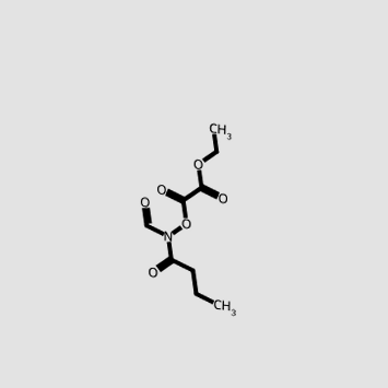 CCCC(=O)N(C=O)OC(=O)C(=O)OCC